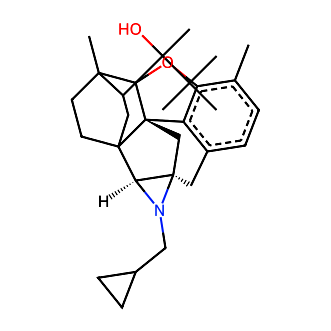 Cc1ccc2c3c1OC1C4(C)CCC5(CC4C(C)(O)C(C)(C)C)[C@@H]4N(CC6CC6)[C@]4(C2)C[C@]315